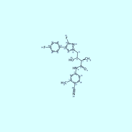 Cc1cc(NC(=O)[C@H](C)C(O)Cn2cc(-c3ccc(F)cc3)c(F)n2)ccc1C#N